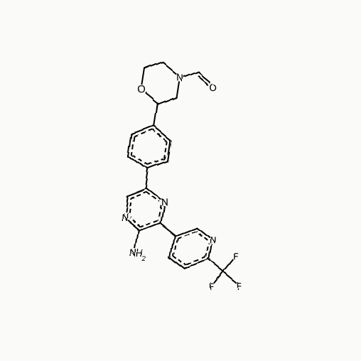 Nc1ncc(-c2ccc(C3CN(C=O)CCO3)cc2)nc1-c1ccc(C(F)(F)F)nc1